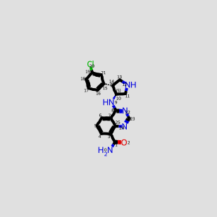 NC(=O)c1cccc2c(N[C@@H]3CNC[C@H]3c3cccc(Cl)c3)ncnc12